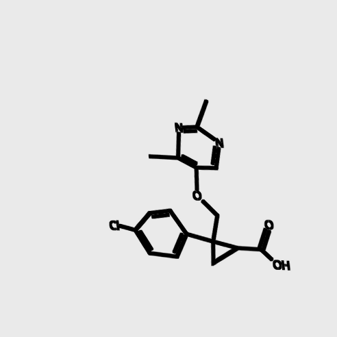 Cc1ncc(OCC2(c3ccc(Cl)cc3)CC2C(=O)O)c(C)n1